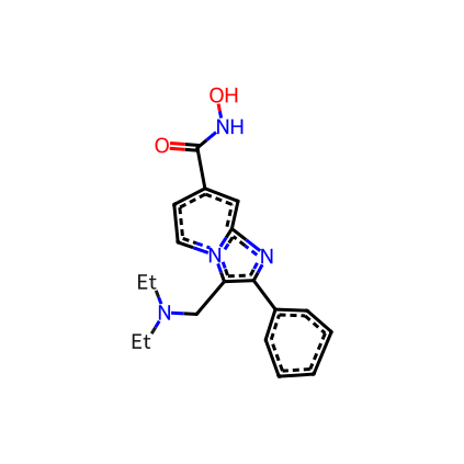 CCN(CC)Cc1c(-c2ccccc2)nc2cc(C(=O)NO)ccn12